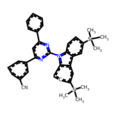 C[Si](C)(C)c1ccc2c(c1)c1cc([Si](C)(C)C)ccc1n2-c1nc(-c2ccccc2)cc(-c2cccc(C#N)c2)n1